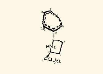 CCOC(=O)[C@@H]1CC[C@@H](c2ccccc2)N1